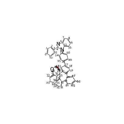 c1ccc(-c2nc3ccccc3n2-c2ccc(-c3ccc4c(c3)C3(c5ccccc5Oc5ccccc53)c3ccccc3-c3ccccc3-4)cc2)cc1